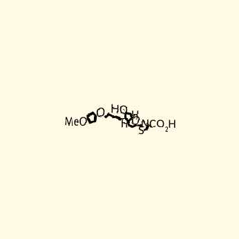 COc1ccc(OCCC/C=C/[C@@H]2[C@H]3CC[C@H](c4nc(C(=O)O)cs4)O[C@H]3C[C@H]2O)cc1